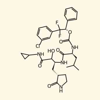 CC(C)C[C@H](NC(=O)O[C@@H](c1ccccc1)C(F)(F)c1cccc(Cl)c1)C(=O)N[C@@H](C[C@@H]1CCNC1=O)C(O)C(=O)NC1CC1